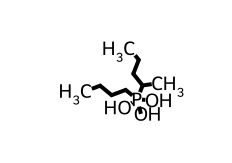 CCCCP(O)(O)(O)C(C)CCC